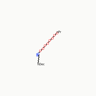 CCCCCCCCCCCCCCCCc1cn(CCOCCOCCOCCOCCOCCOCCOCCOCCC)nn1